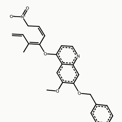 C=C/C(C)=C(\C=C/C[N+](=O)[O-])Oc1ccnc2cc(OCc3ccccc3)c(OC)cc12